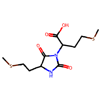 CSCCC1NC(=O)N(C(CCSC)C(=O)O)C1=O